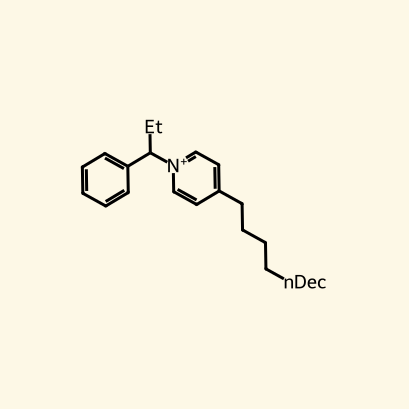 CCCCCCCCCCCCCCc1cc[n+](C(CC)c2ccccc2)cc1